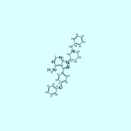 Nc1ncnc2c1c(-c1ccc(Oc3ccccc3)cc1)nn2[C@@H]1CCCN(Cc2ccccc2)C1